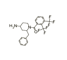 NC1CCN(C(=O)c2cccc(C(F)(F)F)c2C(F)(F)F)C(Cc2ccccc2)C1